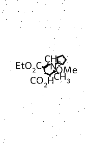 CCOC(=O)C1=C(C)N(C2CCCC2)C(C)(OC)C(C(=O)O)C1